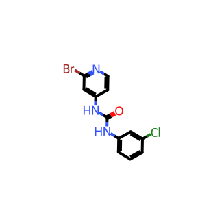 O=C(Nc1cccc(Cl)c1)Nc1ccnc(Br)c1